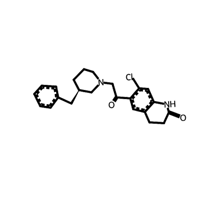 O=C1CCc2cc(C(=O)CN3CCC[C@H](Cc4ccccc4)C3)c(Cl)cc2N1